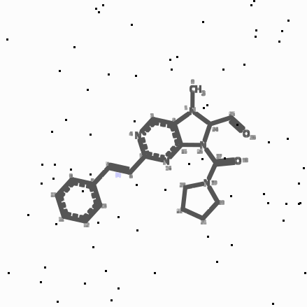 CN1c2cnc(/C=C/c3ccccc3)nc2N(C(=O)N2CCCC2)C1C=O